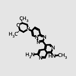 CNc1ncc(-c2nc3ccc(N4C[C@@H](C)O[C@@H](C)C4)cn3n2)c2cc(N)ncc12